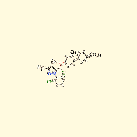 CCCc1c(C)nn(-c2c(Cl)cccc2Cl)c1COc1ccc(-c2ccc(C(=O)O)cc2)c(C)c1